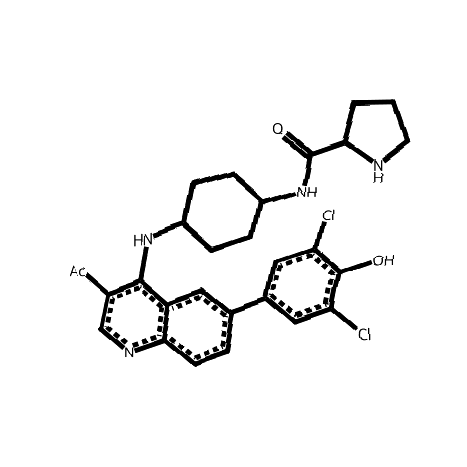 CC(=O)c1cnc2ccc(-c3cc(Cl)c(O)c(Cl)c3)cc2c1NC1CCC(NC(=O)C2CCCN2)CC1